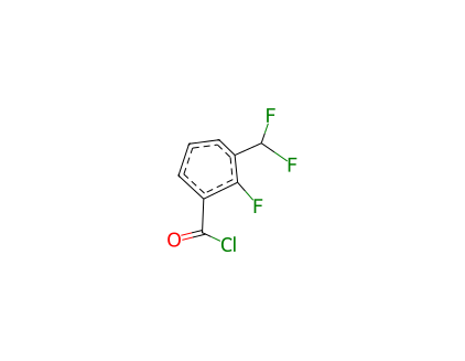 O=C(Cl)c1cccc(C(F)F)c1F